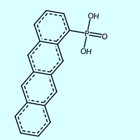 O=P(O)(O)c1cccc2cc3cc4ccccc4cc3cc12